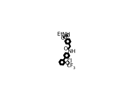 CCNS(=O)(=O)c1ccc(CC(=O)Nc2ccc(-c3ccccc3OC(F)(F)F)c(Cl)c2)cc1